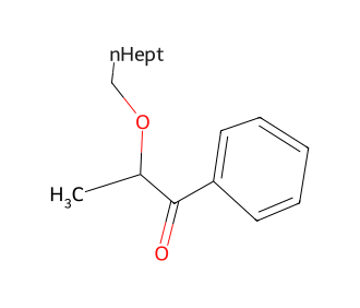 CCCCCCCCOC(C)C(=O)c1ccccc1